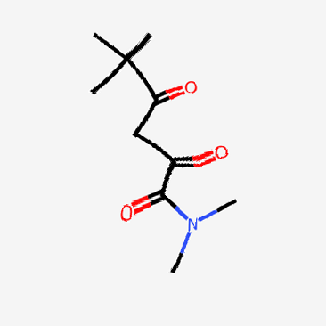 CN(C)C(=O)C(=O)CC(=O)C(C)(C)C